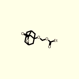 CCC(=O)OCOC12CC3CC(C1)OC(=O)C(C3)C2